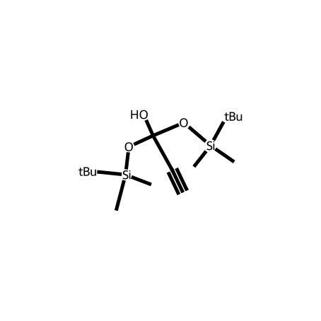 C#CC(O)(O[Si](C)(C)C(C)(C)C)O[Si](C)(C)C(C)(C)C